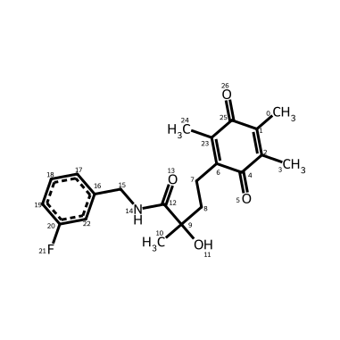 CC1=C(C)C(=O)C(CCC(C)(O)C(=O)NCc2cccc(F)c2)=C(C)C1=O